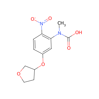 CN(C(=O)O)c1cc(OC2CCOC2)ccc1[N+](=O)[O-]